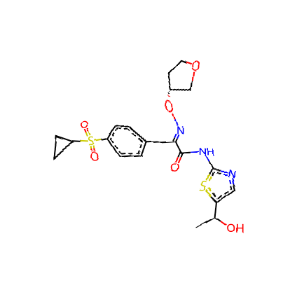 CC(O)c1cnc(NC(=O)/C(=N/O[C@@H]2CCOC2)c2ccc(S(=O)(=O)C3CC3)cc2)s1